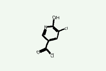 O=C(Cl)c1cnc(O)c(Cl)c1